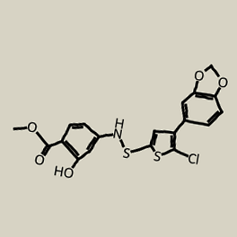 COC(=O)c1ccc(NSc2cc(-c3ccc4c(c3)OCO4)c(Cl)s2)cc1O